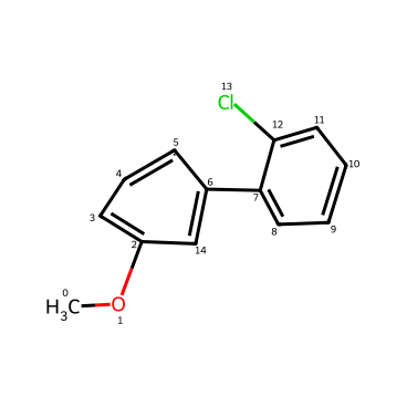 COc1cc[c]c(-c2ccccc2Cl)c1